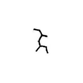 CCC(C)[C]C(C)CC